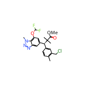 COC(=O)C(C)(C)[C@@H](c1ccc(C)c(CCl)c1)c1cc(OC(F)F)c2c(c1)nnn2C